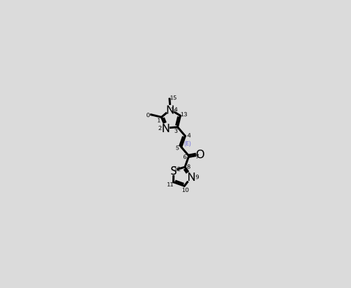 Cc1nc(/C=C/C(=O)c2nccs2)cn1C